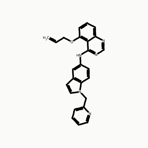 C=CCOc1cccc2ncnc(Nc3ccc4c(ccn4Cc4ccccn4)c3)c12